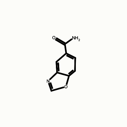 NC(=O)c1ccc2ocnc2c1